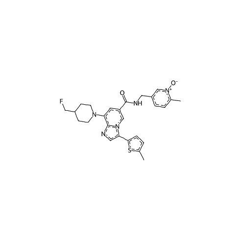 Cc1ccc(-c2cnc3c(N4CCC(CF)CC4)cc(C(=O)NCc4ccc(C)[n+]([O-])c4)cn23)s1